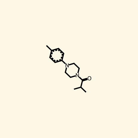 Cc1ccc(N2CCN(C(=O)C(C)C)CC2)cc1